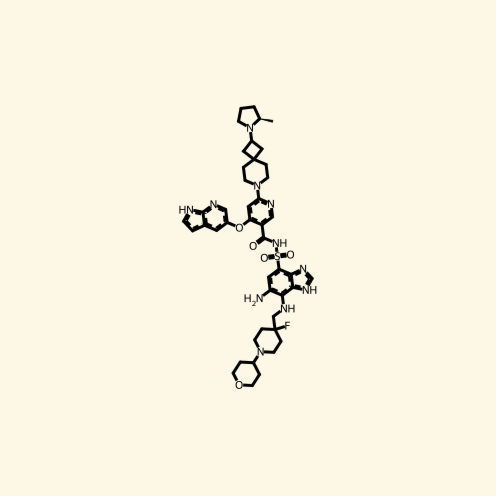 C[C@@H]1CCCN1C1CC2(CCN(c3cc(Oc4cnc5[nH]ccc5c4)c(C(=O)NS(=O)(=O)c4cc(N)c(NCC5(F)CCN(C6CCOCC6)CC5)c5[nH]cnc45)cn3)CC2)C1